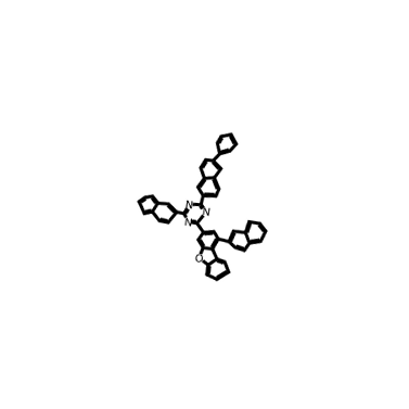 c1ccc(-c2ccc3cc(-c4nc(-c5ccc6ccccc6c5)nc(-c5cc(-c6ccc7ccccc7c6)c6c(c5)oc5ccccc56)n4)ccc3c2)cc1